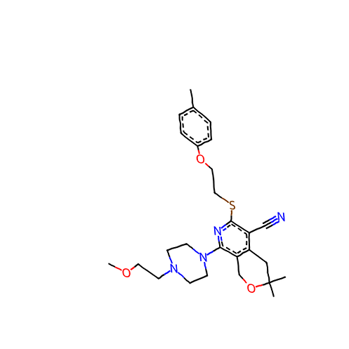 COCCN1CCN(c2nc(SCCOc3ccc(C)cc3)c(C#N)c3c2COC(C)(C)C3)CC1